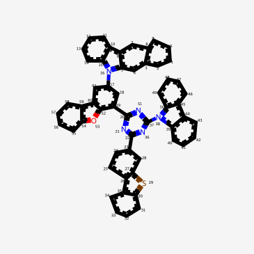 c1ccc2cc3c(cc2c1)c1ccccc1n3-c1cc(-c2nc(-c3ccc4c(c3)sc3ccccc34)nc(-n3c4ccccc4c4ccccc43)n2)c2oc3ccccc3c2c1